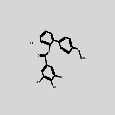 CCCCCCCCOc1ccc(-c2ccccc2OC(=O)c2cc(O)c(O)c(O)c2)cc1.I